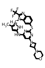 Cc1cc(Nc2cc(N3CC(N4CCOCC4)C3)nc(Sc3ccc4nc(C(F)(F)F)n(C)c4c3)n2)[nH]n1